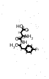 CC(Cc1ccc(F)cc1)NC(=O)C(N)CC(=O)O